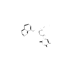 O=c1[nH]c(=O)n([C@H]2C[C@H](OCc3cccc4ccccc34)[C@@H](CO)O2)cc1F